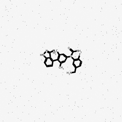 Cc1cc(N(C(N)=O)c2cc(CN)ccc2F)cc(C)c1-c1cccc2[nH]nc(N)c12